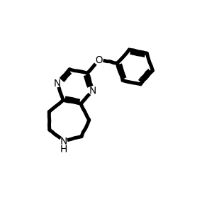 c1ccc(Oc2cnc3c(n2)CCNCC3)cc1